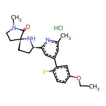 CCOc1ccc(F)c(-c2cc(C)nc([C@H]3CC[C@]4(CCN(C)C4=O)N3)c2)c1.Cl